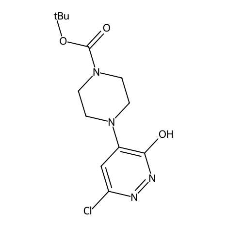 CC(C)(C)OC(=O)N1CCN(c2cc(Cl)nnc2O)CC1